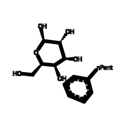 CCCCCc1ccccc1.OC[C@H]1O[C@@H](O)[C@H](O)[C@@H](O)[C@H]1O